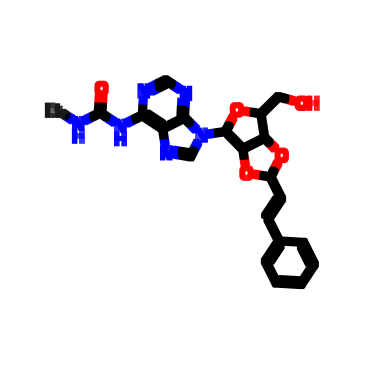 CCNC(=O)Nc1ncnc2c1ncn2C1OC(CO)C2OC(C=Cc3ccccc3)OC21